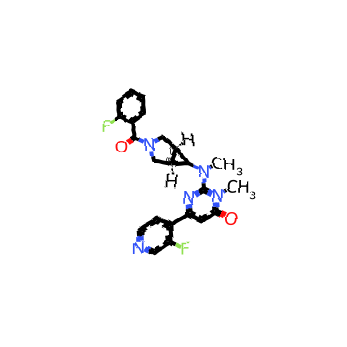 CN(c1nc(-c2ccncc2F)cc(=O)n1C)C1[C@H]2CN(C(=O)c3ccccc3F)C[C@@H]12